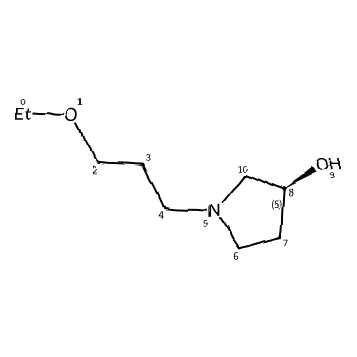 CCOCCCN1CC[C@H](O)C1